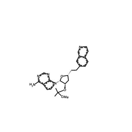 COC(C)(C)O[C@@H]1C[C@@H](CCc2ccc3ccncc3c2)O[C@H]1n1ccc2c(N)ncnc21